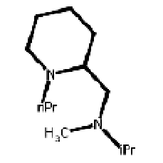 CCCN1CCCCC1CN(C)C(C)C